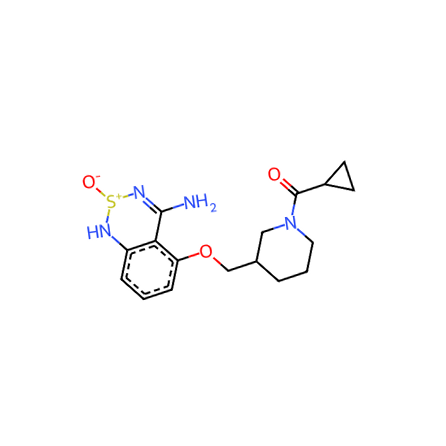 NC1=N[S+]([O-])Nc2cccc(OCC3CCCN(C(=O)C4CC4)C3)c21